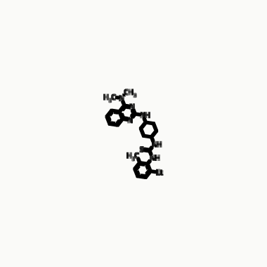 CCc1cccc(C)c1NC(=S)NC1CCC(Nc2nc(N(C)C)c3ccccc3n2)CC1